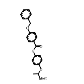 CCCCCCC(C)Oc1ccc(OC(=O)c2ccc(OCc3ccccc3)cc2)cc1